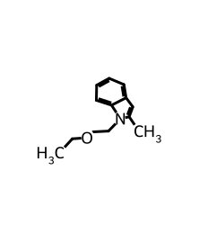 CCOCCn1c(C)cc2ccccc21